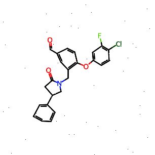 O=Cc1ccc(Oc2ccc(Cl)c(F)c2)c(CN2CC(c3ccccc3)CC2=O)c1